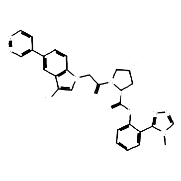 CC(=O)c1cn(CC(=O)N2C[C@H](F)C[C@H]2C(=O)Nc2ccccc2-c2nncn2C)c2ccc(-c3ccnnc3)cc12